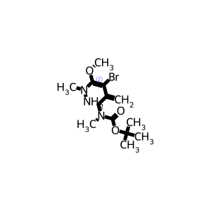 C=C(CN(C)C(=O)OC(C)(C)C)/C(Br)=C(/OC)N(C)N